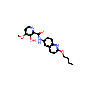 CCCCOc1ccc2cc(NC(=O)c3nccc(OC)c3O)ccc2n1